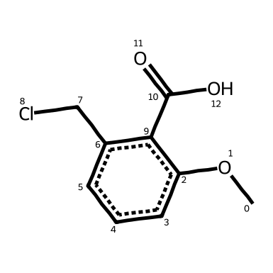 COc1cccc(CCl)c1C(=O)O